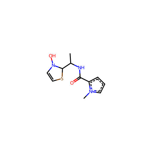 CC(NC(=O)c1cccn1C)C1SC=CN1O